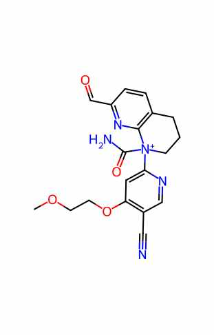 COCCOc1cc([N+]2(C(N)=O)CCCc3ccc(C=O)nc32)ncc1C#N